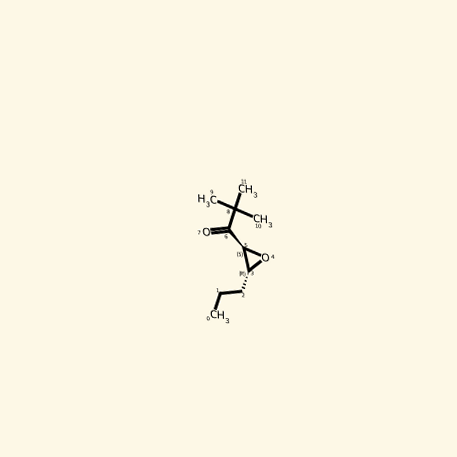 CCC[C@H]1O[C@@H]1C(=O)C(C)(C)C